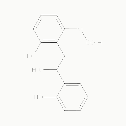 Cc1cccc(OC(=O)O)c1CC(C)c1ccccc1O